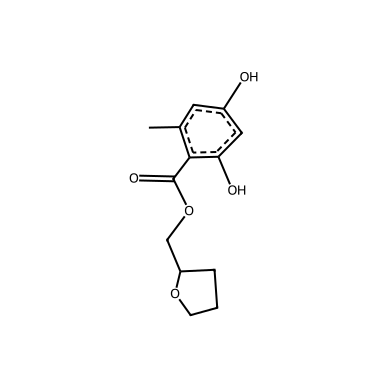 Cc1cc(O)cc(O)c1C(=O)OCC1CCCO1